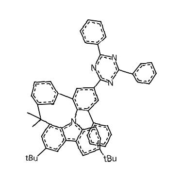 CC(C)(C)c1ccc2c(c1)c1cc(C(C)(C)C)cc3c1n2-c1c(-c2ccccc2)cc(-c2nc(-c4ccccc4)nc(-c4ccccc4)n2)cc1-c1cccc(c1)C3(C)C